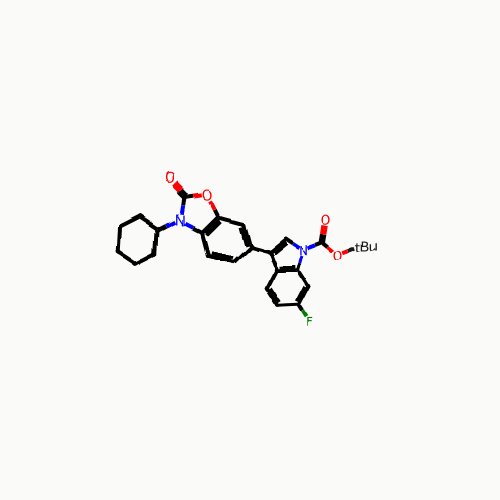 CC(C)(C)OC(=O)n1cc(-c2ccc3c(c2)oc(=O)n3C2CCCCC2)c2ccc(F)cc21